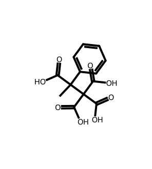 CC(C(=O)O)(c1ccccc1)C(C(=O)O)(C(=O)O)C(=O)O